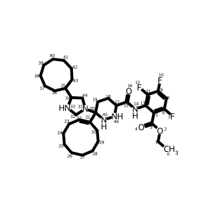 CCOC(=O)c1c(F)cc(F)c(F)c1NC(=O)C1CCC(/C2=C/CCCCCCCC2)(N2CNC(C3CCCCCCCC3)C2)NN1